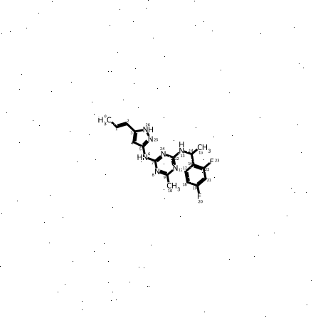 C/C=C/c1cc(Nc2nc(C)nc(NC(C)c3ccc(F)cc3F)n2)n[nH]1